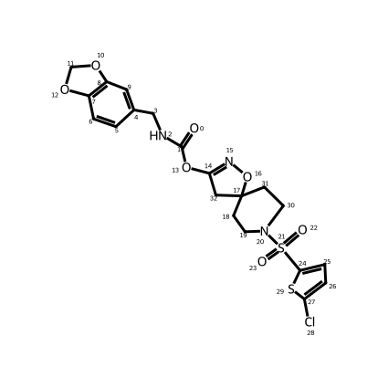 O=C(NCc1ccc2c(c1)OCO2)OC1=NOC2(CCN(S(=O)(=O)c3ccc(Cl)s3)CC2)C1